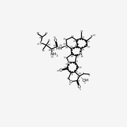 CC[C@@]1(O)C(=O)OCc2c1cc1n(c2=O)Cc2c-1nc1cc(F)c(C)c3c1c2[C@@H](NC(=O)[C@@H](N)C(C)(C)SC(C)C)CC3